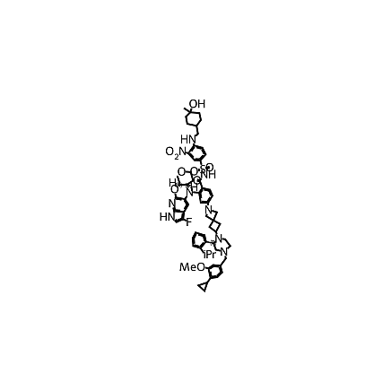 COc1cc(CN2CCN(C3CC4(C3)CN(c3ccc(C(=O)NS(=O)(=O)c5ccc(NCC6CCC(C)(O)CC6)c([N+](=O)[O-])c5)c(N5c6cc7c(F)c[nH]c7nc6O[C@H]6COCC[C@@H]65)c3)C4)[C@H](c3ccccc3C(C)C)C2)ccc1C1CC1